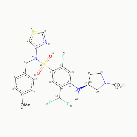 COc1ccc(CN(c2cscn2)S(=O)(=O)c2cc(C(F)F)c(N(C)[C@H]3CCN(C(=O)O)C3)cc2F)cc1